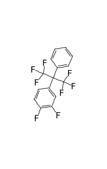 Fc1ccc(C(c2ccccc2)(C(F)(F)F)C(F)(F)F)cc1F